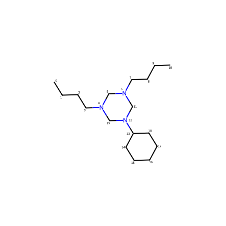 CCCCN1CN(CCCC)CN(C2CCCCC2)C1